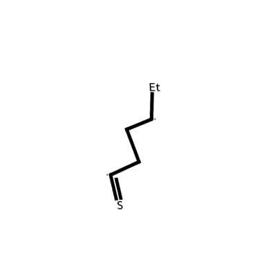 CC[CH]CC[C]=S